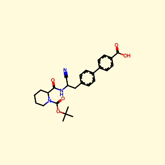 CC(C)(C)OC(=O)N1CCCCC1C(=O)NC(C#N)Cc1ccc(-c2ccc(C(=O)O)cc2)cc1